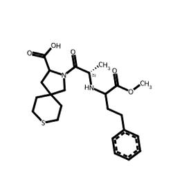 COC(=O)C(CCc1ccccc1)N[C@@H](C)C(=O)N1CC2(CCSCC2)CC1C(=O)O